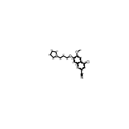 COc1cc2c(Cl)cc(C#N)nc2cc1OCCCN1CCCC1